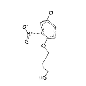 O=[N+]([O-])c1cc(Cl)ccc1OCCCO